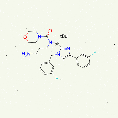 CC(C)(C)[C@H](c1nc(-c2cccc(F)c2)cn1Cc1cccc(F)c1)N(CCCN)C(=O)N1CCOCC1